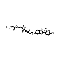 C=CC(=O)OCCC(F)(F)C(F)(F)C(F)(F)C(F)(F)CCOc1ccc2cc(-c3ccc(CC)nc3C)sc2c1